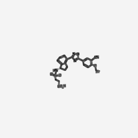 CC(C)Oc1ccc(-c2nc(-c3cccc4c3CC[C@@H]4NS(=O)(=O)CCC(=O)O)no2)cc1C#N